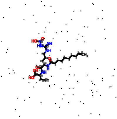 C=CCCCCCCCC(=O)N[C@@H](CCCNC(=N)N[N+](=O)O)C(=O)N[C@@H](CC(C)C)B(O)O